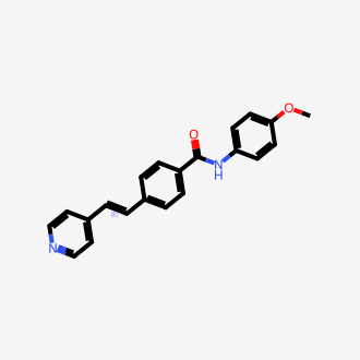 COc1ccc(NC(=O)c2ccc(/C=C/c3ccncc3)cc2)cc1